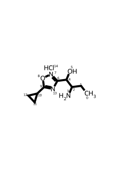 CCC(N)C(O)c1noc(C2CC2)n1.Cl